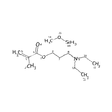 C=C(C)C(=O)OCCCN(CC)CC.CO[SiH3]